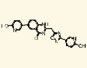 O=c1nc(Cc2nc(-c3ccc(O)nc3)no2)[nH]c2ccc(-c3ccc(O)nc3)cc12